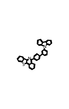 c1cc(-c2ccc(-c3nc4c5ccccc5sc4c4ccccc34)cc2)cc(-n2c3ccccc3c3ccccc32)c1